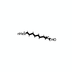 CCCCCCCCCCCCCC[14CH2][C]=O